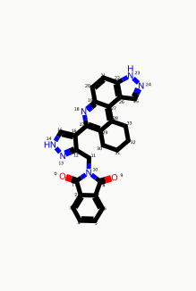 O=C1c2ccccc2C(=O)N1Cc1n[nH]cc1-c1nc2ccc3[nH]ncc3c2c2c1CCCC2